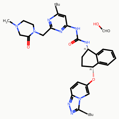 CN1CCN(Cc2nc(NC(=O)N[C@H]3CC[C@@H](Oc4ccc5nnc(C(C)(C)C)n5c4)c4ccccc43)cc(C(C)(C)C)n2)C(=O)C1.O=CO